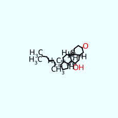 CC(C)CCCC(C)[C@H]1CC[C@H]2[C@@H]3[C@H](O)C[C@@H]4CC(=O)CC[C@]4(C)[C@H]3CC[C@]12C